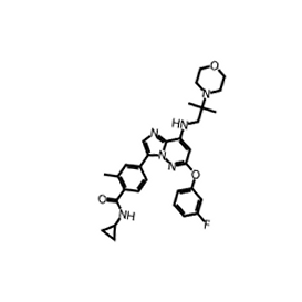 Cc1cc(-c2cnc3c(NCC(C)(C)N4CCOCC4)cc(Oc4cccc(F)c4)nn23)ccc1C(=O)NC1CC1